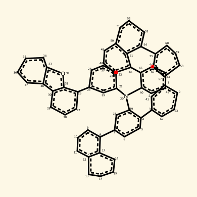 c1ccc(-c2ccc(-c3cccc4ccccc34)cc2N(c2cccc(-c3cccc4c3oc3ccccc34)c2)c2ccccc2-c2cccc3cccc(-c4ccccc4)c23)cc1